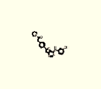 O=C(Cc1ccc(-c2cc3ncnc(Nc4cccc(O)c4)c3s2)cc1)N1CCCC1